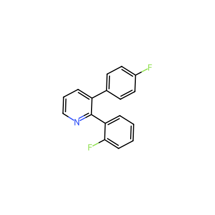 Fc1ccc(-c2cccnc2-c2ccccc2F)cc1